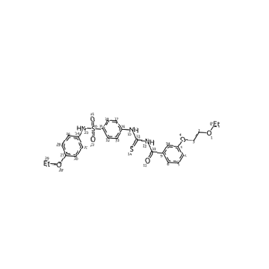 CCOCCOc1cccc(C(=O)NC(=S)Nc2ccc(S(=O)(=O)Nc3ccc(OCC)cc3)cc2)c1